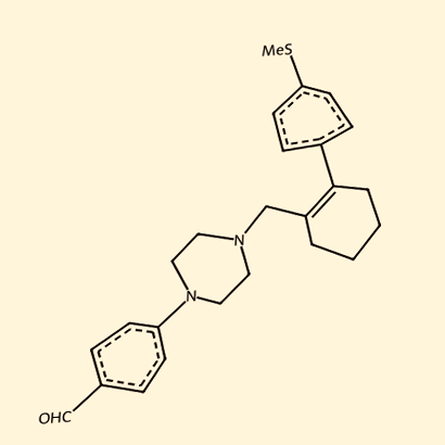 CSc1ccc(C2=C(CN3CCN(c4ccc(C=O)cc4)CC3)CCCC2)cc1